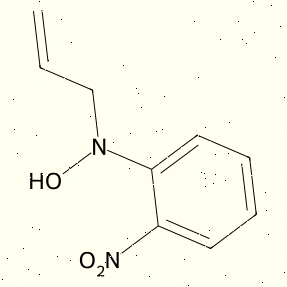 C=CCN(O)c1ccccc1[N+](=O)[O-]